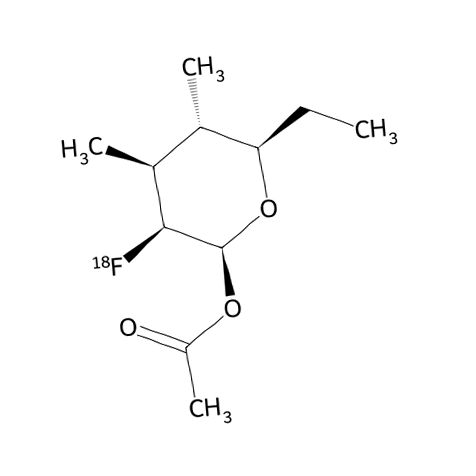 CC[C@H]1O[C@@H](OC(C)=O)[C@@H]([18F])[C@@H](C)[C@@H]1C